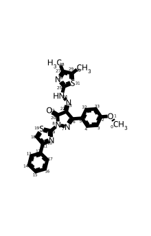 COc1ccc(C2=NN(c3nc(-c4ccccc4)cs3)C(=O)/C2=N\Nc2nc(C)c(C)s2)cc1